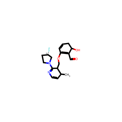 CC1C=CN=C(N2CC[C@H](F)C2)C1COC1=C(C=O)C(O)CC=C1